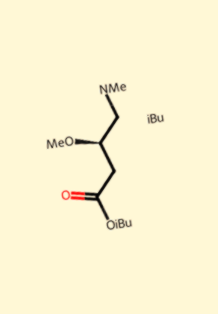 CC[C@H](C)C(NC)[C@@H](CC(=O)OCC(C)C)OC